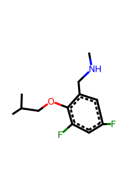 CNCc1cc(F)cc(F)c1OCC(C)C